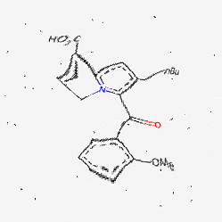 CCCCc1cc2n(c1C(=O)c1ccccc1OC)CC=C2C(=O)O